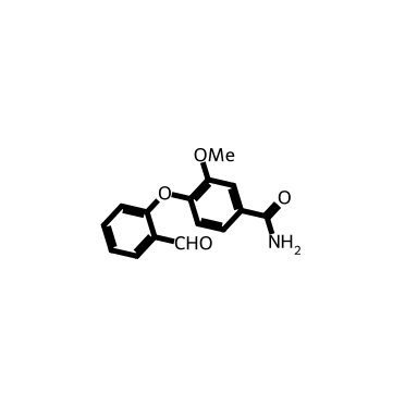 COc1cc(C(N)=O)ccc1Oc1ccccc1C=O